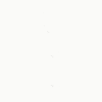 CCN1C(=O)Cc2cc(N3C[C@H](CNC(=O)OC(C)(C)C)OC3=O)ccc21